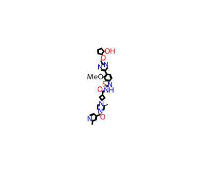 COc1c(-c2cnc(CO[C@H]3CCC[C@@H]3O)nc2)ccc2nc(NC(=O)C3CC(N4CCN(C(=O)c5ccnc(C)c5)C[C@@H]4C)C3)sc12